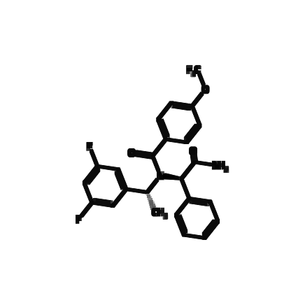 C[C@H](c1cc(F)cc(F)c1)N(C(=O)c1ccc(OC(F)(F)F)cc1)[C@@H](C(N)=O)c1ccccc1